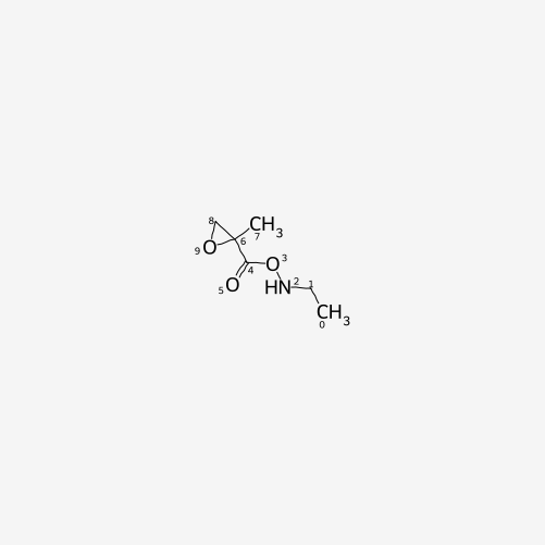 CCNOC(=O)C1(C)CO1